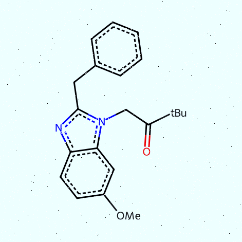 COc1ccc2nc(Cc3ccccc3)n(CC(=O)C(C)(C)C)c2c1